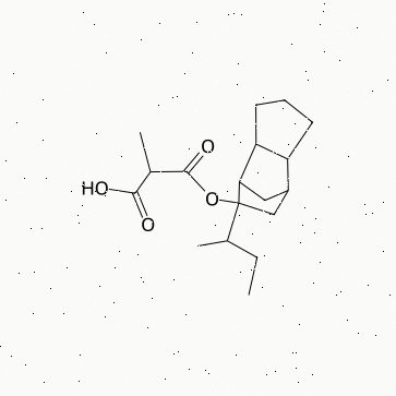 CCC(C)C1(OC(=O)C(C)C(=O)O)CC2CC1C1CCCC21